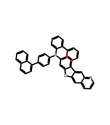 c1ccc(-c2ccccc2N(c2ccc(-c3cccc4ccccc34)cc2)c2ccc3c(c2)oc2cc4cccnc4cc23)cc1